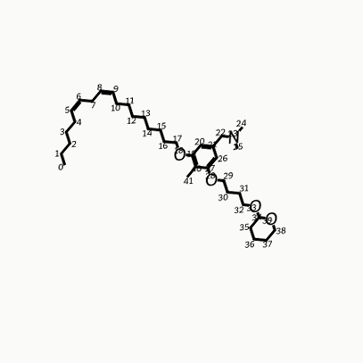 CCCCC/C=C\C/C=C\CCCCCCCCOc1cc(CN(C)C)cc(OCCCCOC2CCCCO2)c1C